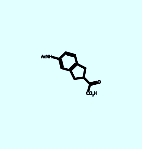 CC(=O)Nc1ccc2c(c1)CC(C(=O)C(=O)O)C2